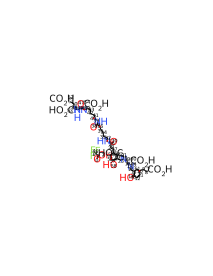 O=C(O)C(F)(F)F.O=C(O)CCc1ccc(O)c(CN(CCN(CC(=O)O)Cc2cc(CCC(=O)NCCCCCC(=O)NCCCCC(NC(=O)NC(CCC(=O)O)C(=O)O)C(=O)O)ccc2O)CC(=O)O)c1